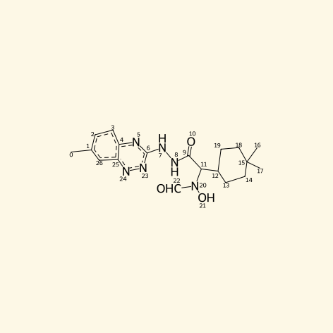 Cc1ccc2nc(NNC(=O)C(C3CCC(C)(C)CC3)N(O)C=O)nnc2c1